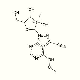 CONc1ncnc2c1c(C#N)nn2C1OC(CO)C(O)[C@@]1(C)O